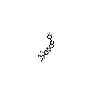 O=c1nc(-c2ccc(S(=O)(=O)N3CCc4ccc(-c5ccc(C(F)(F)F)cc5)cc4C3)cc2Cl)[nH]o1